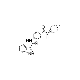 CN1CCN(NC(=O)c2ccc3[nH]c(-c4n[nH]c5ccccc45)nc3c2)CC1